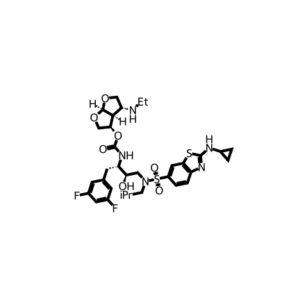 CCN[C@H]1CO[C@@H]2OC[C@H](OC(=O)N[C@@H](Cc3cc(F)cc(F)c3)[C@H](O)CN(CC(C)C)S(=O)(=O)c3ccc4nc(NC5CC5)sc4c3)[C@@H]21